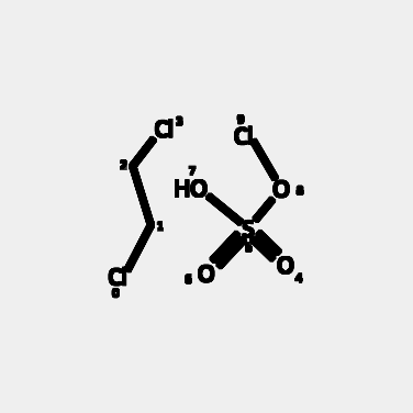 ClCCCl.O=S(=O)(O)OCl